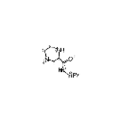 CCCNC(=O)C1C[N]CCN1